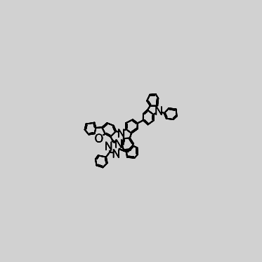 c1ccc(-c2nc(-c3ccccc3)nc(-c3c(-n4c5ccccc5c5cc(-c6ccc7c(c6)c6ccccc6n7-c6ccccc6)ccc54)ccc4c3oc3ccccc34)n2)cc1